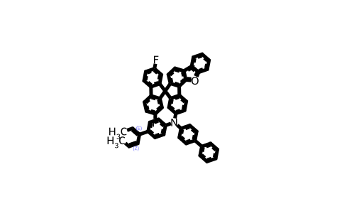 C/C=C\C(=C/C)c1ccc(N(c2ccc(-c3ccccc3)cc2)c2ccc3c(c2)C2(c4cc(F)ccc4-c4ccc(F)cc42)c2ccc4c(oc5ccccc54)c2-3)cc1